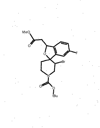 COC(=O)CC1OC2(CCN(C(=O)OC(C)(C)C)CC2Br)c2cc(F)ccc21